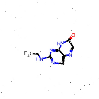 O=c1cnc2cnc(NCC(F)(F)F)nc2[nH]1